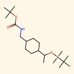 CC(O[Si](C)(C)C(C)(C)C)C1CCC(CNC(=O)OC(C)(C)C)CC1